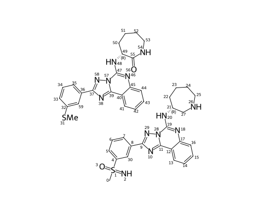 CS(=N)(=O)c1cccc(-c2nc3c4ccccc4nc(N[C@@H]4CCCCNC4)n3n2)c1.CSc1cccc(-c2nc3c4ccccc4nc(N[C@@H]4CCCCNC4=O)n3n2)c1